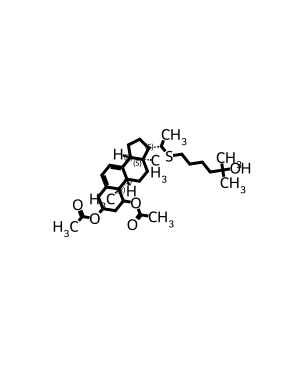 CC(=O)OC1CC2=CC=C3[C@@H]4CC[C@H](C(C)SCCCCC(C)(C)O)[C@@]4(C)CC[C@@H]3[C@@]2(C)C(OC(C)=O)C1